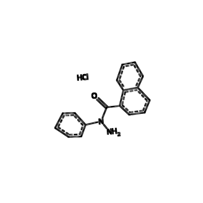 Cl.NN(C(=O)c1cccc2ccccc12)c1ccccc1